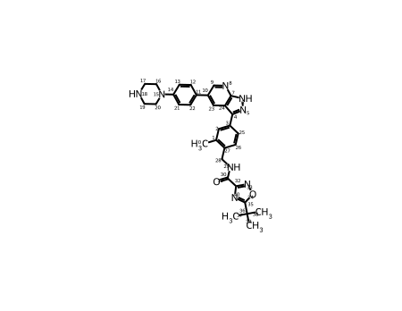 Cc1cc(-c2n[nH]c3ncc(-c4ccc(N5CCNCC5)cc4)cc23)ccc1CNC(=O)c1noc(C(C)(C)C)n1